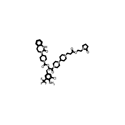 Nc1c(Cl)cc(C[C@@H](OC(=O)N2CCC(N3CCc4ccccc4NC3=O)CC2)C(=O)N2CCN(C3CCN(CCC(=O)OCCN4CCCC4=O)CC3)CC2)cc1C(F)(F)F